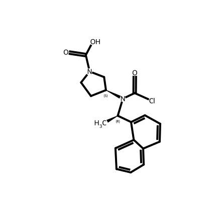 C[C@H](c1cccc2ccccc12)N(C(=O)Cl)[C@H]1CCN(C(=O)O)C1